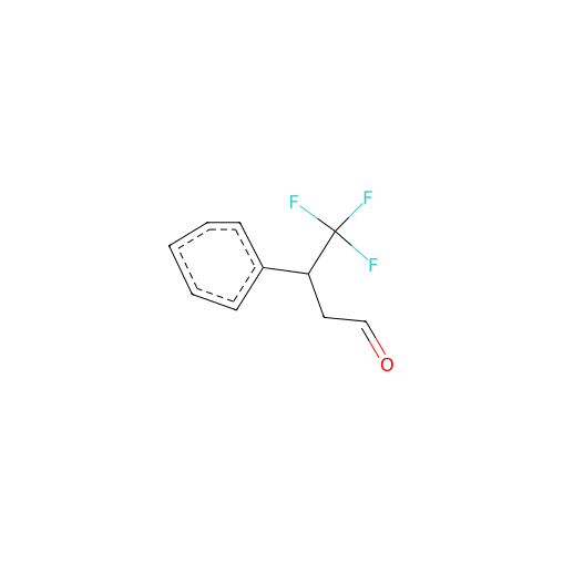 O=CCC(c1ccccc1)C(F)(F)F